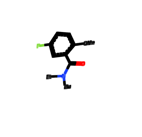 CCC(C)N(CC)C(=O)c1cc(F)ccc1OC